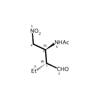 CC[C@@H](C=O)[C@@H](C[N+](=O)[O-])NC(C)=O